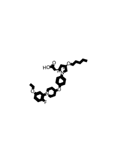 CCCCCO[C@@H]1C[C@H](CC(=O)O)N(c2ccc(OC3CCN(c4cc(OCC)ccc4F)CC3)cc2)C1